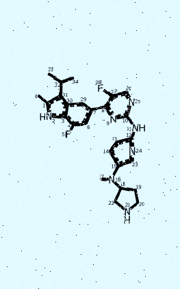 Cc1[nH]c2c(F)cc(-c3nc(Nc4ccc(N(C)C5CCNC5)cn4)ncc3F)cc2c1C(C)C